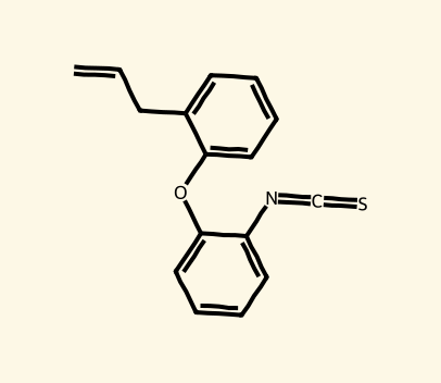 C=CCc1ccccc1Oc1ccccc1N=C=S